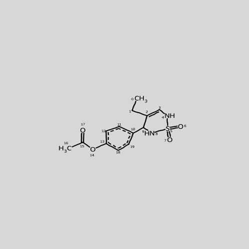 CCC1=CNS(=O)(=O)NC1c1ccc(OC(C)=O)cc1